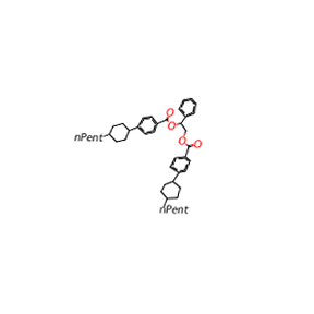 CCCCCC1CCC(c2ccc(C(=O)OCC(OC(=O)c3ccc(C4CCC(CCCCC)CC4)cc3)c3ccccc3)cc2)CC1